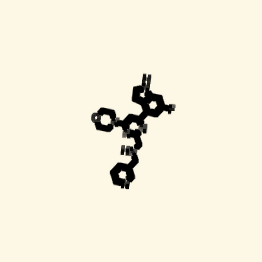 Fc1cc(-c2cc(N3CCOCC3)nc(CNCc3cccnc3)n2)c2cc[nH]c2c1